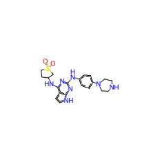 O=S1(=O)CCC(Nc2nc(Nc3ccc(N4CCNCC4)cc3)nc3[nH]ccc23)C1